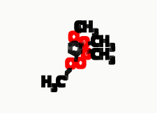 CCCCOC(=O)c1ccc(OCC)c(OCC)c1OCC